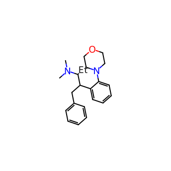 CCC(C(Cc1ccccc1)c1ccccc1N1CCOCC1)N(C)C